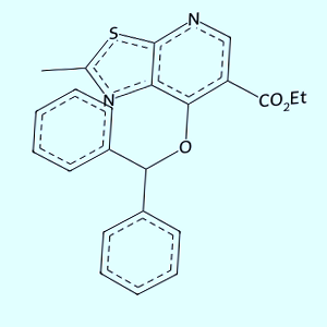 CCOC(=O)c1cnc2sc(C)nc2c1OC(c1ccccc1)c1ccccc1